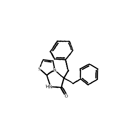 O=C1NC2SC=CN2C1(Cc1ccccc1)Cc1ccccc1